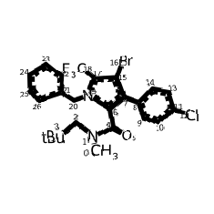 CN(CC(C)(C)C)C(=O)c1c(-c2ccc(Cl)cc2)c(Br)c(C(F)(F)F)n1Cc1ccccc1